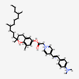 CCCC(C)CCCC(C)CCCC1(C)CCc2cc(OC(=O)C[n+]3ccc(/C=C/c4ccc(N(C)C)cc4)cc3)cc(C)c2O1